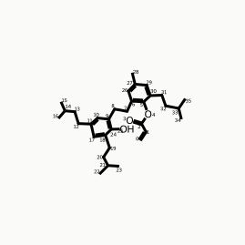 C=CC(=O)Oc1c(CCc2cc(CCC(C)C)cc(CCC(C)C)c2O)cc(C)cc1CCC(C)C